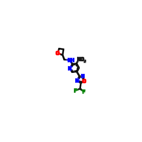 O=[N+]([O-])c1cc(-c2noc(C(F)F)n2)cnc1NCC1CCO1